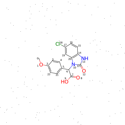 COc1ccc(C(C(=O)O)n2c(=O)[nH]c3ccc(Cl)cc32)cc1